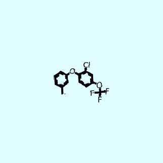 [CH2]c1cccc(Oc2ccc(OC(F)(F)F)cc2Cl)c1